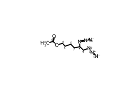 CC(=O)OCCCCC(CN=[N+]=[N-])N=[N+]=[N-]